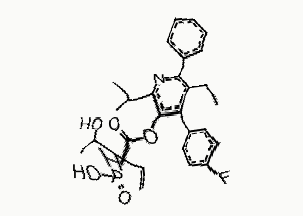 C=CC(C(=O)Oc1c(C(C)C)nc(-c2ccccc2)c(CC)c1-c1ccc(F)cc1)(C(C)O)[PH](=O)O